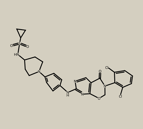 O=C1c2cnc(Nc3ccc(N4CCC(NS(=O)(=O)C5CC5)CC4)cc3)nc2OCN1c1c(Cl)cccc1Cl